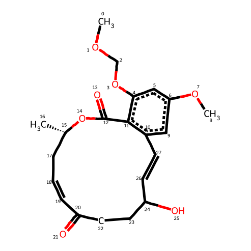 COCOc1cc(OC)cc2c1C(=O)O[C@@H](C)C/C=C\C(=O)CCC(O)/C=C/2